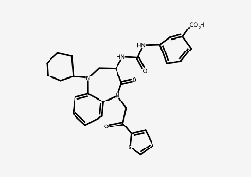 O=C(Nc1cccc(C(=O)O)c1)NC1CN(C2CCCCC2)c2ccccc2N(CC(=O)c2cccs2)C1=O